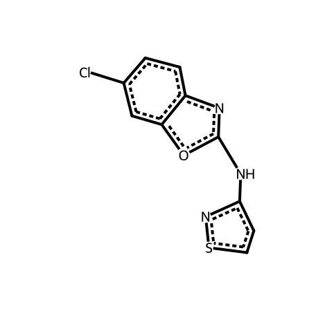 Clc1ccc2nc(Nc3ccsn3)oc2c1